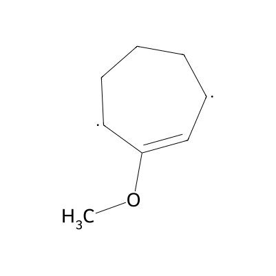 COC1=C[CH]CCC[CH]1